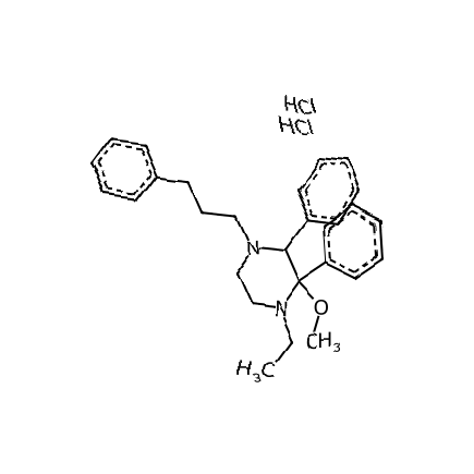 CCN1CCN(CCCc2ccccc2)C(c2ccccc2)C1(OC)c1ccccc1.Cl.Cl